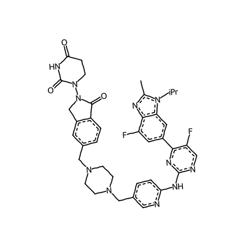 Cc1nc2c(F)cc(-c3nc(Nc4ccc(CN5CCN(Cc6ccc7c(c6)CN(N6CCC(=O)NC6=O)C7=O)CC5)cn4)ncc3F)cc2n1C(C)C